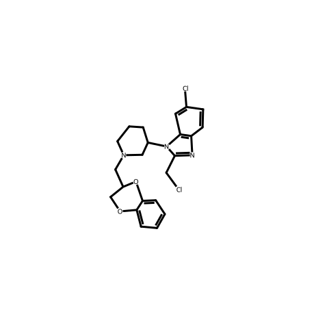 ClCc1nc2ccc(Cl)cc2n1C1CCCN(CC2COc3ccccc3O2)C1